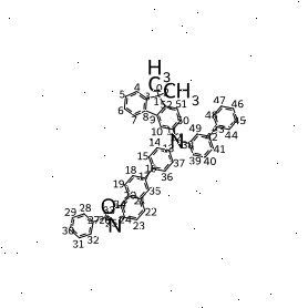 CC1(C)c2ccccc2-c2cc(N(c3ccc(-c4ccc5c(ccc6nc(-c7ccccc7)oc65)c4)cc3)c3cccc(-c4ccccc4)c3)ccc21